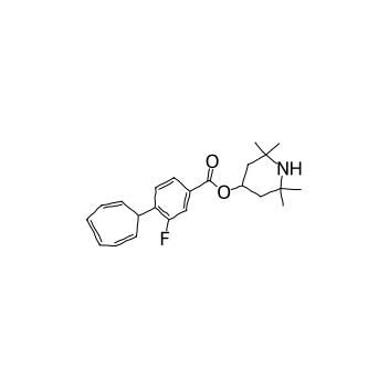 CC1(C)CC(OC(=O)c2ccc(C3C=CC=CC=C3)c(F)c2)CC(C)(C)N1